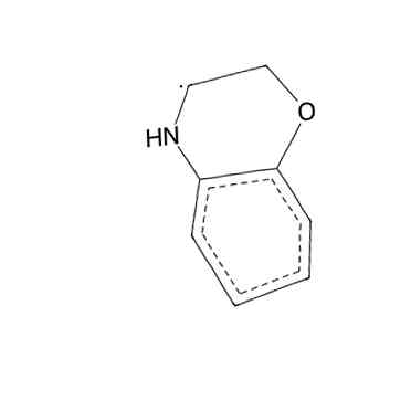 [CH]1COc2ccccc2N1